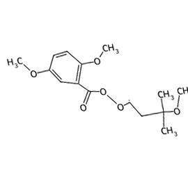 COc1ccc(OC)c(C(=O)OO[CH]CC(C)(C)OC)c1